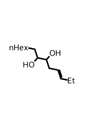 CCC=CCC(O)C(O)CCCCCCC